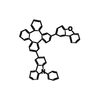 c1ccc(-n2c3ccccc3c3cc(-c4ccc5c(c4)-c4ccc(-c6ccc7oc8ccccc8c7c6)cc4-c4ccccc4-c4ccccc4-5)ccc32)cc1